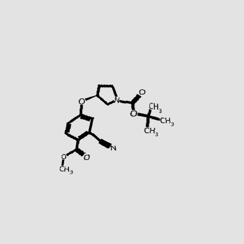 COC(=O)c1ccc(O[C@H]2CCN(C(=O)OC(C)(C)C)C2)cc1C#N